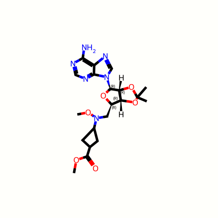 COC(=O)C1CC(N(C[C@H]2O[C@@H](n3cnc4c(N)ncnc43)[C@@H]3OC(C)(C)O[C@@H]32)OC)C1